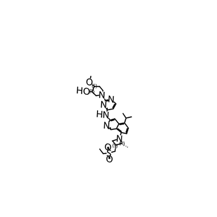 CCS(=O)(=O)C[C@H]1CN(c2ccc(C(C)C)c3cc(Nc4ccnc(N5CC[C@H](OC)[C@H](O)C5)n4)ncc23)[C@@H]1C